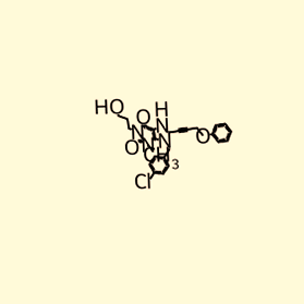 Cn1c2c(c(=O)n(CCCO)c1=O)NC(C#CCOc1ccccc1)N2Cc1ccc(Cl)cc1